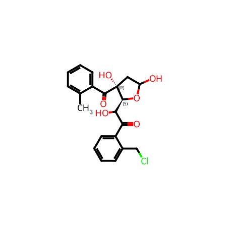 Cc1ccccc1C(=O)[C@@]1(O)CC(O)O[C@H]1C(O)C(=O)c1ccccc1CCl